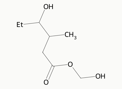 CCC(O)C(C)CC(=O)OCO